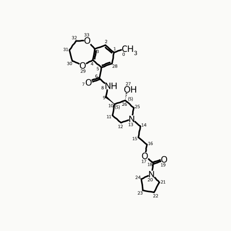 Cc1cc2c(c(C(=O)NC[C@@H]3CCN(CCCOC(=O)N4CCCC4)C[C@H]3O)c1)OCCCO2